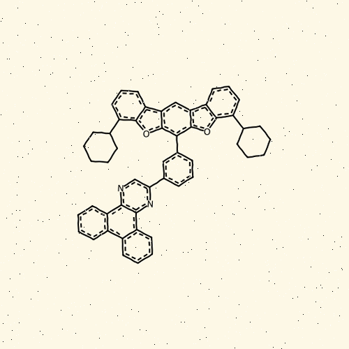 c1cc(-c2cnc3c4ccccc4c4ccccc4c3n2)cc(-c2c3oc4c(C5CCCCC5)cccc4c3cc3c2oc2c(C4CCCCC4)cccc23)c1